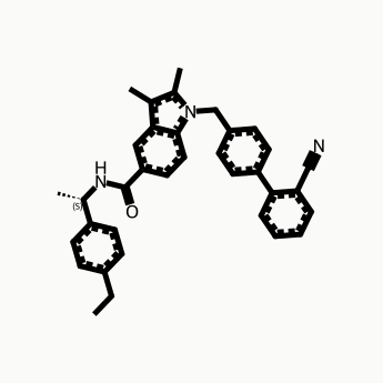 CCc1ccc([C@H](C)NC(=O)c2ccc3c(c2)c(C)c(C)n3Cc2ccc(-c3ccccc3C#N)cc2)cc1